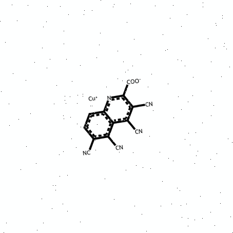 N#Cc1ccc2nc(C(=O)[O-])c(C#N)c(C#N)c2c1C#N.[Cu+]